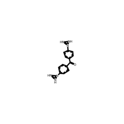 O=C(c1ccc(-n2[nH][nH]2)cc1)c1ccc(-n2[nH][nH]2)cc1